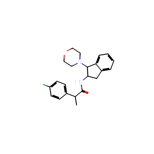 CC(C(=O)NC1Cc2ccccc2C1N1CCOCC1)c1ccc(F)cc1